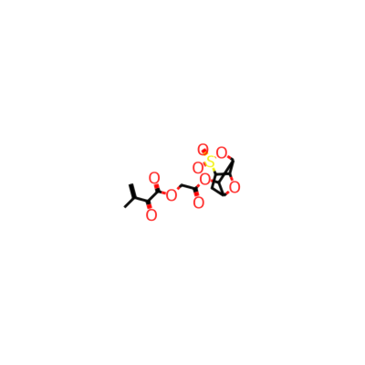 C=C(C)C(=O)C(=O)OCC(=O)OC1C2CC3C(O2)C1OS3(=O)=O